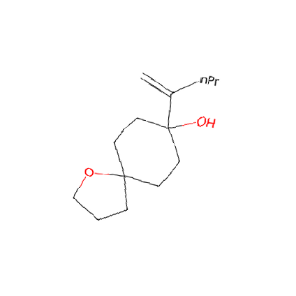 C=C(CCC)C1(O)CCC2(CCCO2)CC1